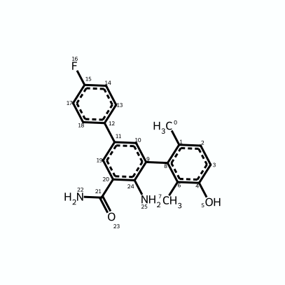 Cc1ccc(O)c(C)c1-c1cc(-c2ccc(F)cc2)cc(C(N)=O)c1N